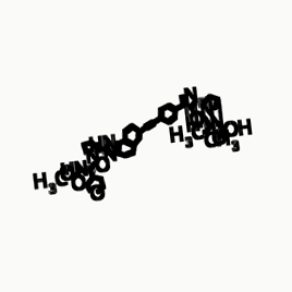 COC(=O)N[C@H](C(=O)N1CCC[C@H]1c1nc2ccc3cc(C#Cc4ccc(-c5cnc([C@@H]6CCCN6C(=O)[C@@H](NC(=O)O)C(C)C)[nH]5)cc4)ccc3c2[nH]1)C1CCOCC1